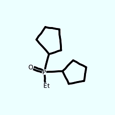 CCP(=O)(C1CCCC1)C1CCCC1